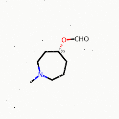 CN1CCC[C@@H](OC=O)CC1